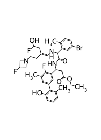 CCOC(=O)C[C@H](NC(=O)C(N/C=C(/CCN1CC(F)C1)CC(O)F)c1cc(Br)ccc1C)c1cc(-c2c(C)cccc2O)cc(C)c1F